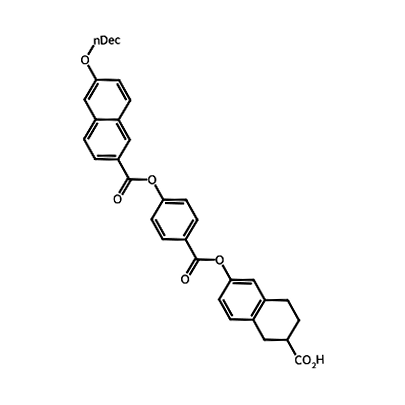 CCCCCCCCCCOc1ccc2cc(C(=O)Oc3ccc(C(=O)Oc4ccc5c(c4)CCC(C(=O)O)C5)cc3)ccc2c1